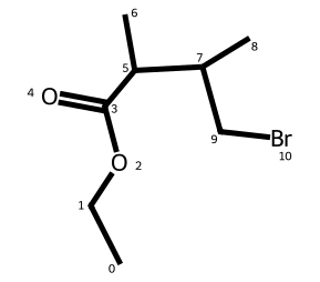 CCOC(=O)C(C)C(C)CBr